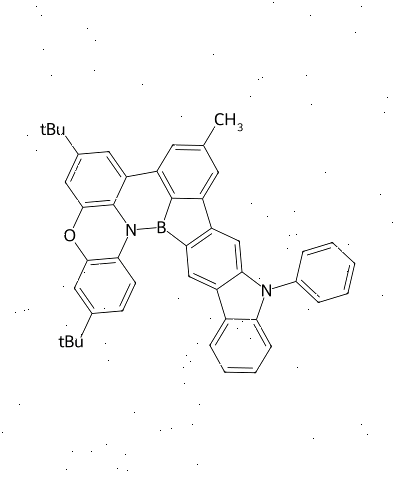 Cc1cc2c3c(c1)-c1cc(C(C)(C)C)cc4c1N(B3c1cc3c5ccccc5n(-c5ccccc5)c3cc1-2)c1ccc(C(C)(C)C)cc1O4